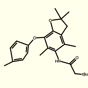 Cc1ccc(Oc2c(C)c(NC(=O)CC(C)(C)C)c(C)c3c2OC(C)(C)C3)cc1